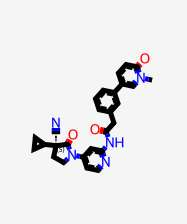 Cn1cc(-c2cccc(CC(=O)Nc3cc(N4CC[C@@](C#N)(C5CC5)C4=O)ccn3)c2)ccc1=O